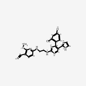 COc1nc(NCCNc2ncc(-c3ncc[nH]3)c(-c3ccc(Cl)cc3Cl)n2)ccc1C#N